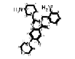 Nc1ccccc1Cn1c(N2CCC[C@@H](N)C2)nc2cc(N3CCOCC3)c(F)cc2c1=O